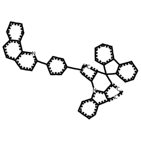 c1ccc2c(c1)-c1ccccc1C21c2ccc(-c3ccc(-c4ccc5ccc6ccccc6c5n4)cc3)cc2-n2c3ccccc3c3cccc1c32